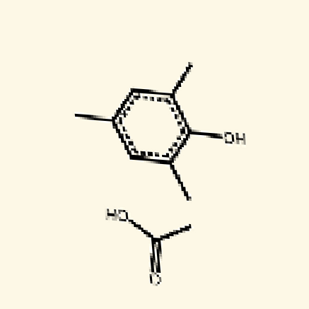 CC(=O)O.Cc1cc(C)c(O)c(C)c1